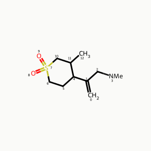 C=C(CNC)C1CCS(=O)(=O)CC1C